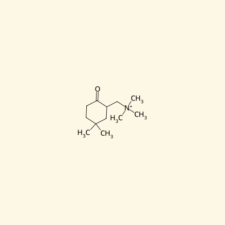 CC1(C)CCC(=O)C(C[N+](C)(C)C)C1